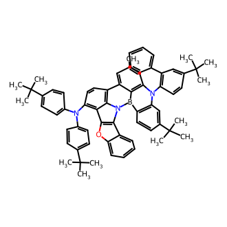 Cc1cc2c3c(c1)N(c1ccc(C(C)(C)C)cc1-c1ccccc1)c1cc(C(C)(C)C)ccc1B3n1c3c-2ccc(N(c2ccc(C(C)(C)C)cc2)c2ccc(C(C)(C)C)cc2)c3c2oc3ccccc3c21